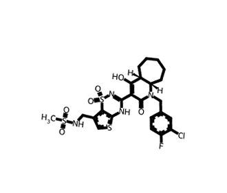 CS(=O)(=O)NCc1csc2c1S(=O)(=O)N=C(C1=C(O)[C@@H]3CCCCC[C@@H]3N(Cc3ccc(F)c(Cl)c3)C1=O)N2